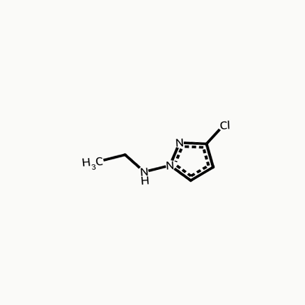 CCNn1ccc(Cl)n1